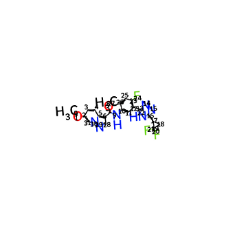 COc1ccc2c(C(=O)Nc3cc(-c4nnc(C5CC5(F)F)[nH]4)c(F)cc3C)cnn2c1